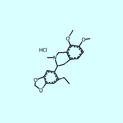 CCc1cc2c(cc1C1Cc3ccc(OC)c(OC)c3CN1C)OCO2.Cl